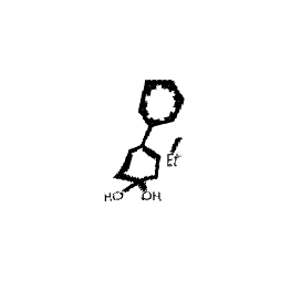 CCC.OC1(O)C=CC(c2ccccc2)=CC1